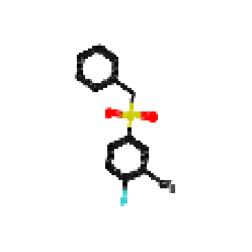 O=S(=O)(Cc1ccccc1)c1ccc(F)c(C(F)(F)F)c1